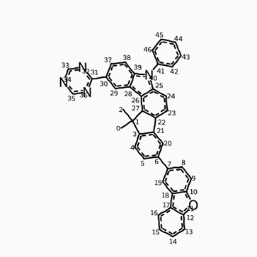 CC1(C)c2ccc(-c3ccc4oc5ccccc5c4c3)cc2-c2ccc3c(c21)c1cc(-c2ncncn2)ccc1n3-c1ccccc1